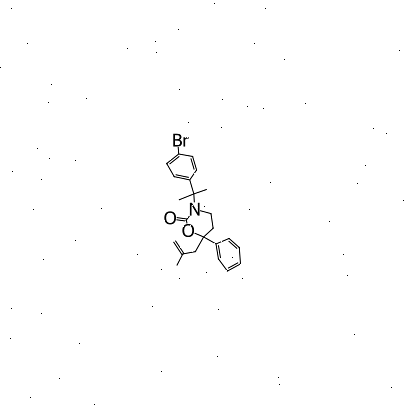 C=C(C)CC1(c2ccccc2)CCN(C(C)(C)c2ccc(Br)cc2)C(=O)O1